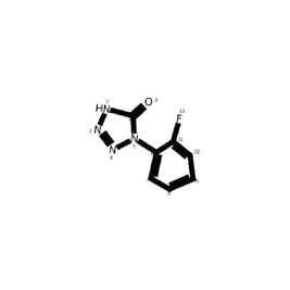 O=c1[nH]nnn1-c1ccccc1F